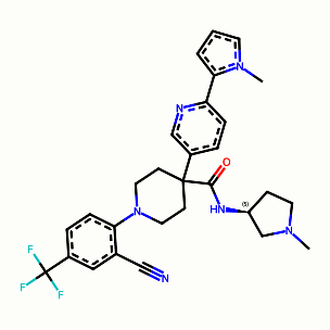 CN1CC[C@H](NC(=O)C2(c3ccc(-c4cccn4C)nc3)CCN(c3ccc(C(F)(F)F)cc3C#N)CC2)C1